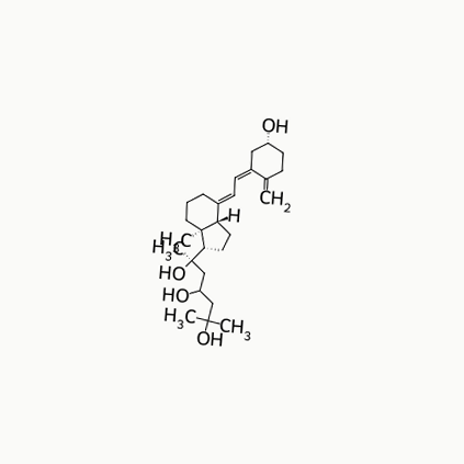 C=C1CC[C@@H](O)C/C1=C/C=C1\CCC[C@@]2(C)[C@H]1CC[C@@H]2[C@](C)(O)CC(O)CC(C)(C)O